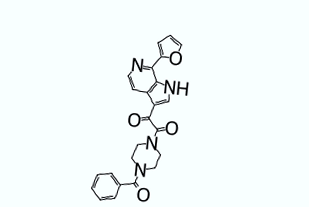 O=C(C(=O)N1CCN(C(=O)c2ccccc2)CC1)c1c[nH]c2c(-c3ccco3)nccc12